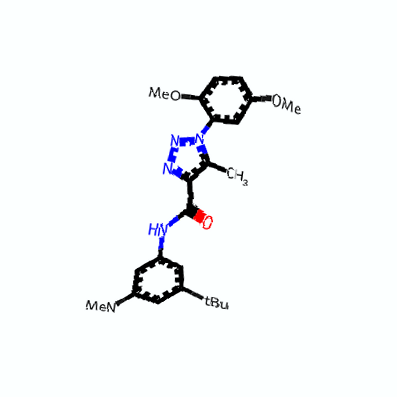 CNc1cc(NC(=O)c2nnn(-c3cc(OC)ccc3OC)c2C)cc(C(C)(C)C)c1